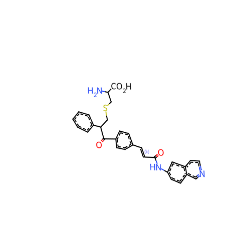 NC(CSCC(C(=O)c1ccc(/C=C/C(=O)Nc2ccc3cnccc3c2)cc1)c1ccccc1)C(=O)O